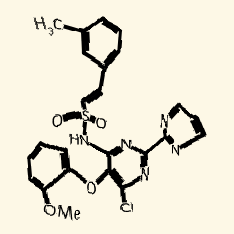 COc1ccccc1Oc1c(Cl)nc(-c2ncccn2)nc1NS(=O)(=O)C=Cc1cccc(C)c1